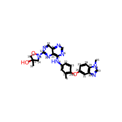 Cc1cc(Nc2ncnc3cnc(N4CC(C)(O)CO4)nc23)ccc1Oc1ccc2c(c1)ncn2C